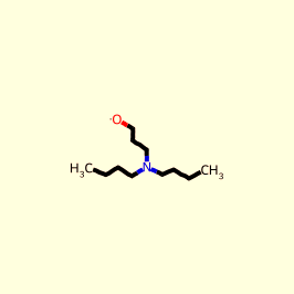 CCCCN(CCCC)CCC[O]